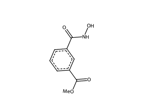 COC(=O)c1cccc(C(=O)NO)c1